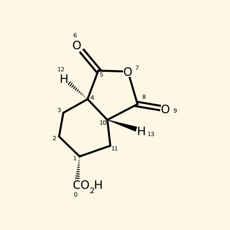 O=C(O)[C@@H]1CC[C@H]2C(=O)OC(=O)[C@@H]2C1